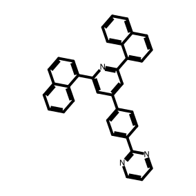 c1cnc(-c2ccc(-c3cc(-c4cccc5ccccc45)nc(-c4cccc5ccccc45)c3)cc2)nc1